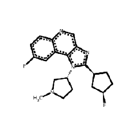 CN1CC[C@@H](n2c([C@H]3CC[C@@H](F)C3)nc3cnc4ccc(F)cc4c32)C1